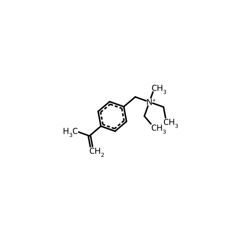 C=C(C)c1ccc(C[N+](C)(CC)CC)cc1